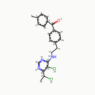 Cc1ccc(C(=O)c2ccc(CCNc3ncnc(C(C)Cl)c3Cl)cc2)cc1